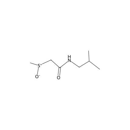 CC(C)CNC(=O)C[S+](C)[O-]